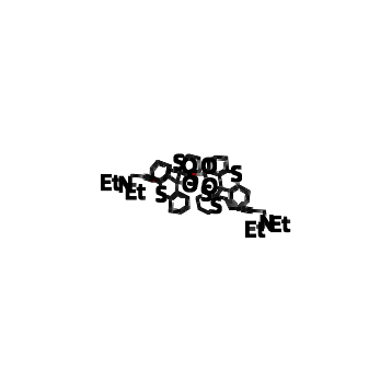 CCN(CC)CC#CCCC1(C2(OC(=O)C(=O)OC3(C4(CCC#CCN(CC)CC)SCCCS4)c4ccccc4Sc4ccccc43)c3ccccc3Sc3ccccc32)SCCCS1